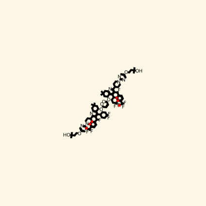 CC(C)(O)CCOc1cnc(N2CCC(c3nc4c(c(C5CCC(F)(F)CC5)c3C(F)c3ccc(C(F)(F)F)cc3)[C@@H](OC(=O)/C=C\C(=O)O[C@H]3CC(C)(C)Cc5nc(C6CCN(c7ncc(OCCC(C)(C)O)cn7)CC6)c(C(F)c6ccc(C(F)(F)F)cc6)c(C6CCC(F)(F)CC6)c53)CC(C)(C)C4)CC2)nc1